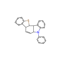 C1=CC2C(c3ccccc3N2c2ccccc2)C2Sc3ccccc3C12